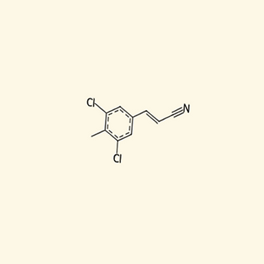 Cc1c(Cl)cc(/C=C/C#N)cc1Cl